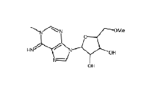 COCC1OC(n2cnc3c(=N)n(C)cnc32)C(O)C1O